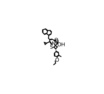 CCCOc1ccc([C@@H]2CC3(C(=O)O)C2Sc2c(C4CC4)c(Cc4cccc5ccccc45)cc(=O)n23)cc1C